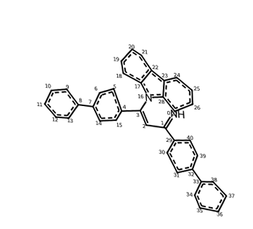 N=C(/C=C(/c1ccc(-c2ccccc2)cc1)n1c2ccccc2c2ccccc21)c1ccc(-c2ccccc2)cc1